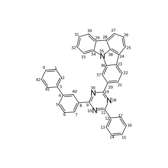 c1ccc(-c2cccc(-c3nc(-c4ccccc4)nc(-c4ccc5c6cccc7c8ccccc8n(c5c4)c76)n3)c2)cc1